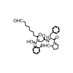 O=[C]C1CCCN1C(=O)[C@H](Cc1ccccc1)NC(=O)[C@H](Cc1ccccc1)N(NO)C(=O)CCCCCCC=O